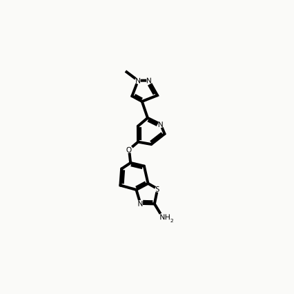 Cn1cc(-c2cc(Oc3ccc4nc(N)sc4c3)ccn2)cn1